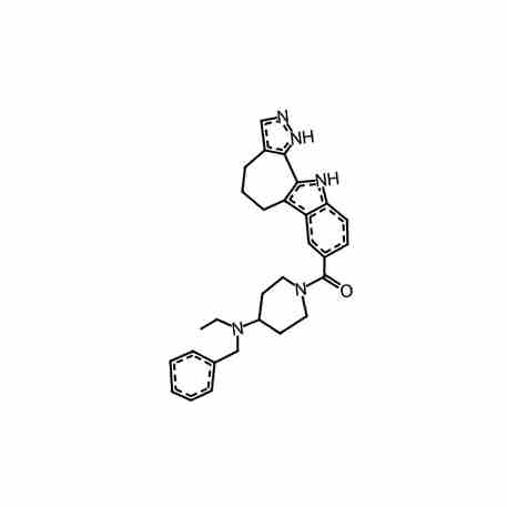 CCN(Cc1ccccc1)C1CCN(C(=O)c2ccc3[nH]c4c(c3c2)CCCc2cn[nH]c2-4)CC1